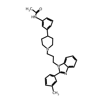 CC(=O)Nc1cccc(C2CCN(CCCn3c(-c4cccc(C)c4)nc4ccccc43)CC2)c1